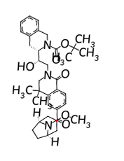 COC1C[C@H]2CC[C@@H](C1)N2C(=O)c1ccc2c(c1)C(C)(C)CN(C[C@H](O)[C@@H]1Cc3ccccc3CN1C(=O)OC(C)(C)C)C2=O